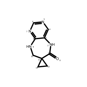 O=C1Nc2cncnc2NCC12CC2